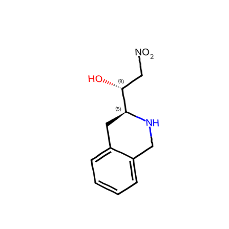 O=[N+]([O-])C[C@@H](O)[C@@H]1Cc2ccccc2CN1